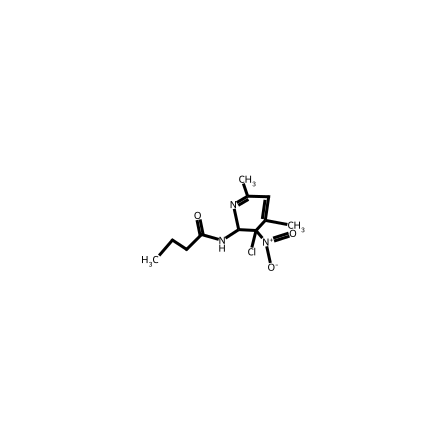 CCCC(=O)NC1N=C(C)C=C(C)C1(Cl)[N+](=O)[O-]